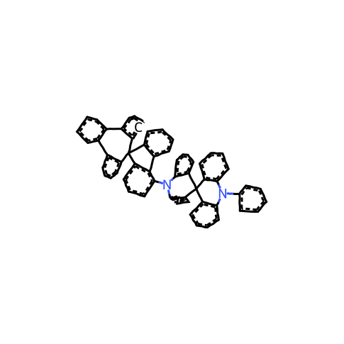 c1ccc(N2c3ccccc3C3(c4ccccc42)c2ccccc2N(c2cccc4c2-c2ccccc2C42c4ccccc4-c4ccccc4-c4ccccc42)c2ccccc23)cc1